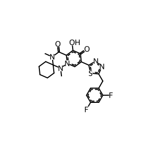 CN1C(=O)c2c(O)c(=O)c(-c3nnc(Cc4ccc(F)cc4F)s3)cn2N(C)C12CCCCC2